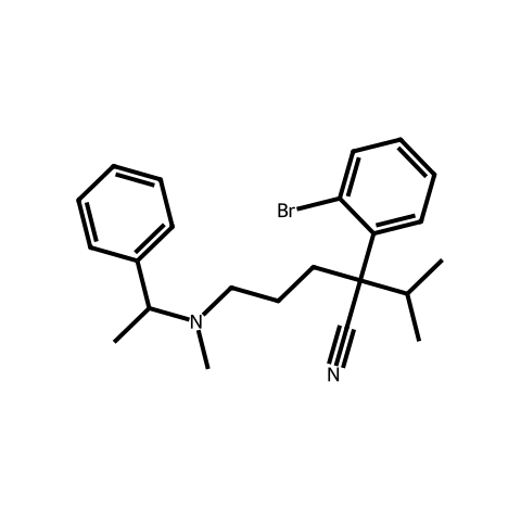 CC(c1ccccc1)N(C)CCCC(C#N)(c1ccccc1Br)C(C)C